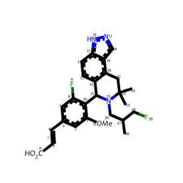 COc1cc(/C=C/C(=O)O)cc(F)c1C1c2ccc3[nH]ncc3c2CC(C)(C)N1CC(C)CF